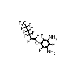 Nc1c(F)c(N)c(F)c(OC(F)=C(F)C(F)(F)C(F)(F)C(F)(F)C(F)(F)F)c1F